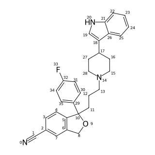 N#Cc1ccc2c(c1)COC2(CCCN1CCC(c2c[nH]c3ccccc23)CC1)c1ccc(F)cc1